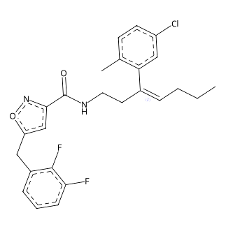 CCC/C=C(/CCNC(=O)c1cc(Cc2cccc(F)c2F)on1)c1cc(Cl)ccc1C